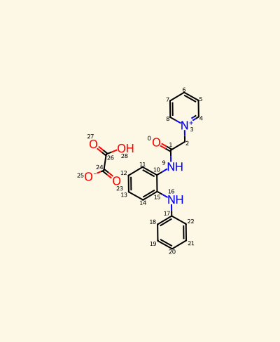 O=C(C[n+]1ccccc1)Nc1ccccc1Nc1ccccc1.O=C([O-])C(=O)O